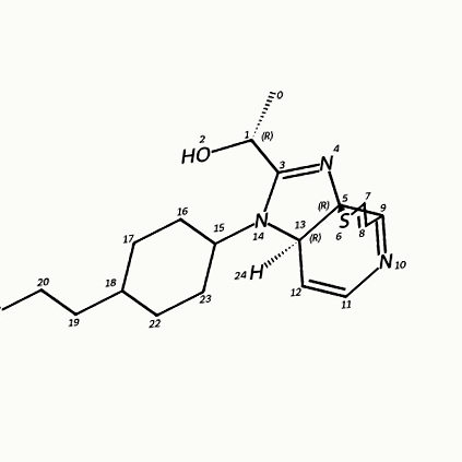 C[C@@H](O)C1=N[C@]23SC=CC2=NC=C[C@H]3N1C1CCC(CCC#N)CC1